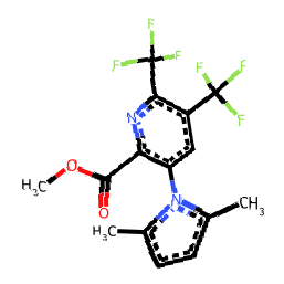 COC(=O)c1nc(C(F)(F)F)c(C(F)(F)F)cc1-n1c(C)ccc1C